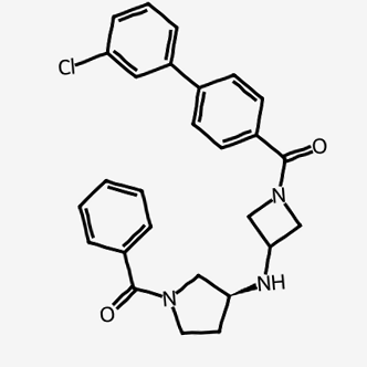 O=C(c1ccc(-c2cccc(Cl)c2)cc1)N1CC(N[C@H]2CCN(C(=O)c3ccccc3)C2)C1